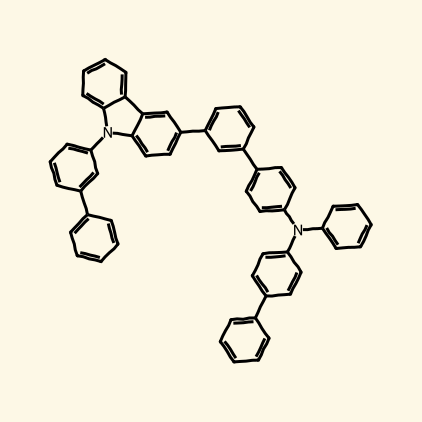 c1ccc(-c2ccc(N(c3ccccc3)c3ccc(-c4cccc(-c5ccc6c(c5)c5ccccc5n6-c5cccc(-c6ccccc6)c5)c4)cc3)cc2)cc1